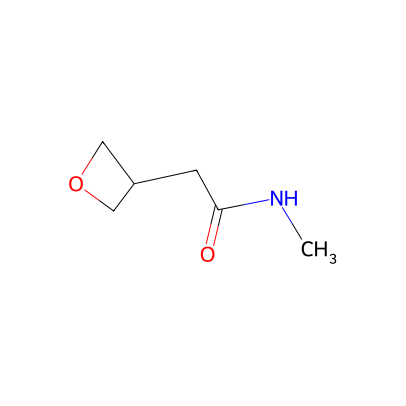 CNC(=O)CC1COC1